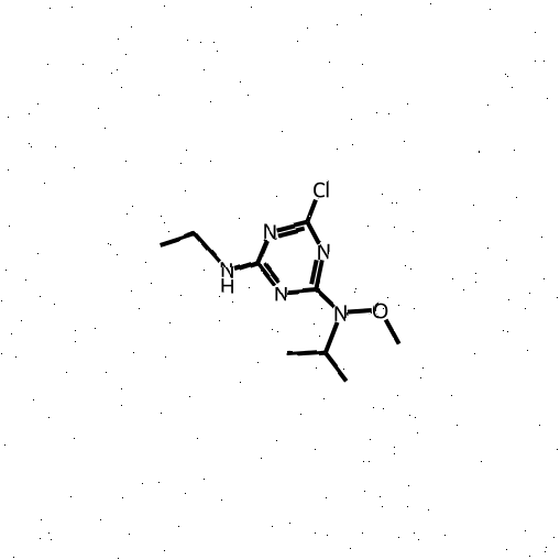 CCNc1nc(Cl)nc(N(OC)C(C)C)n1